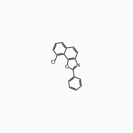 Clc1cccc2ccc3nc(-c4ccccc4)oc3c12